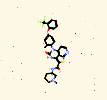 Cc1cc(Oc2ccccc2C(F)(F)F)ccc1N1C(=O)Nc2c(C(=O)N[C@@H]3CCCN(C)C3)sc3nccc1c23